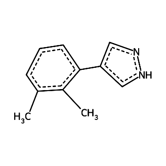 Cc1cccc(-c2cn[nH]c2)c1C